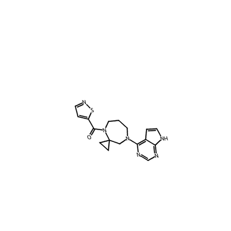 O=C(c1ccns1)N1CCCN(c2ncnc3[nH]ccc23)CC12CC2